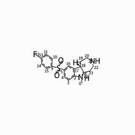 CN1c2ccc(S(=O)(=O)c3ccc(F)cc3)cc2[C@@H]2CCNCC[C@H]21